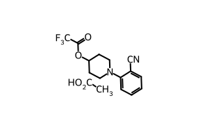 CC(=O)O.N#Cc1ccccc1N1CCC(OC(=O)C(F)(F)F)CC1